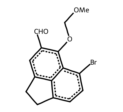 COCOc1c(C=O)cc2c3c(ccc(Br)c13)CC2